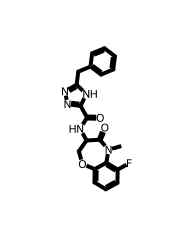 CN1C(=O)C(NC(=O)c2nnc(Cc3ccccc3)[nH]2)COc2cccc(F)c21